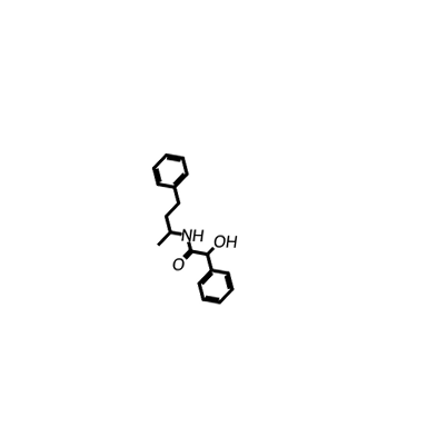 CC(CCc1ccccc1)NC(=O)C(O)c1ccccc1